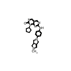 CN1C=C2CN(c3ccc(Nc4ncc5cnc(=O)n(C6CCCC6)c5n4)cc3)CC2C1